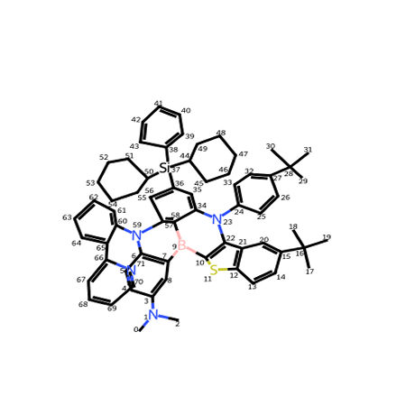 CN(C)c1ccc2c(c1)B1c3sc4ccc(C(C)(C)C)cc4c3N(c3ccc(C(C)(C)C)cc3)c3cc([Si](c4ccccc4)(C4CCCCC4)C4CCCCC4)cc(c31)N2c1ccccc1-c1ccccn1